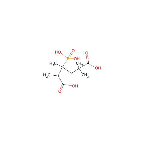 CC(C(=O)O)C(C)(CC(C)(C)C(=O)O)P(=O)(O)O